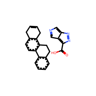 C1=CCc2c(ccc3c2CCc2ccccc2-3)C1.O=C(O)C1=C2C=NC=C2N=N1